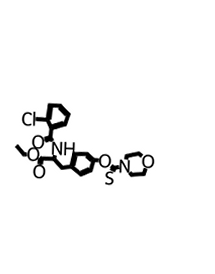 CCOC(=O)C(Cc1ccc(OC(=S)N2CCOCC2)cc1)NC(=O)c1ccccc1Cl